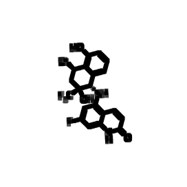 CC[C@@H]1C[C@](O)(C(F)(F)F)[C@@H](Nc2cc(F)cc3[nH]c(=O)ccc23)c2cccc(O)c21